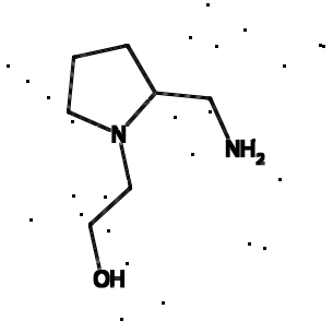 NCC1CCCN1CCO